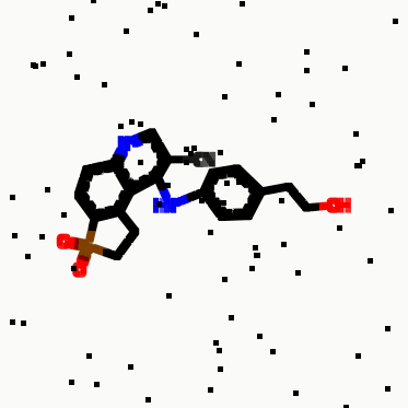 N#Cc1cnc2ccc3c(c2c1Nc1ccc(CCO)cc1)CCS3(=O)=O